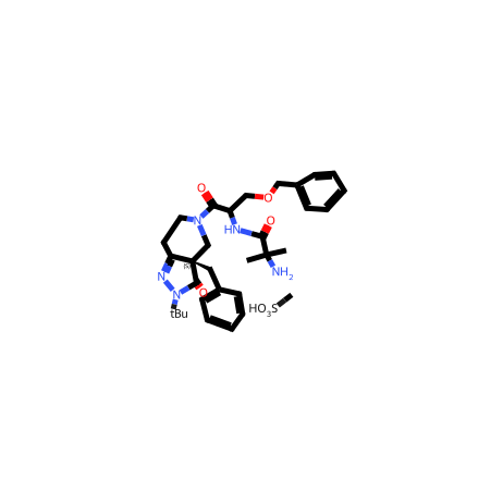 CC(C)(N)C(=O)NC(COCc1ccccc1)C(=O)N1CCC2=NN(C(C)(C)C)C(=O)[C@@]2(Cc2ccccc2)C1.CS(=O)(=O)O